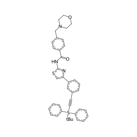 CC(C)(C)S(C#Cc1cccc(-c2csc(NC(=O)c3ccc(CN4CCOCC4)cc3)n2)c1)(c1ccccc1)c1ccccc1